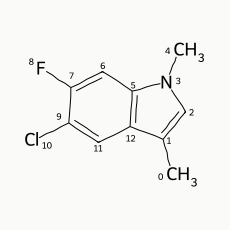 Cc1cn(C)c2cc(F)c(Cl)cc12